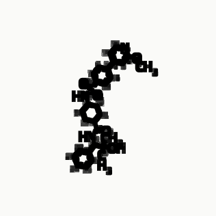 COc1cc(-c2ccc(S(=O)(=O)N[C@H]3CC[C@H](C(=O)N[C@@H](c4ccccc4)C(C)(C)O)CC3)cc2)ccn1